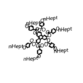 CCCCCCCOc1ccc(C(=O)Oc2cc3c4cc(OC(=O)c5ccc(OCCCCCCC)cc5)c(OC(=O)c5ccc(OCCCCCCC)cc5)cc4c4cc(OC(=O)c5ccc(OCCCCCCC)cc5)c(OC(=O)c5ccc(OCCCCCCC)cc5)cc4c3cc2OC(=O)c2ccc(OCCCCCCC)cc2)cc1